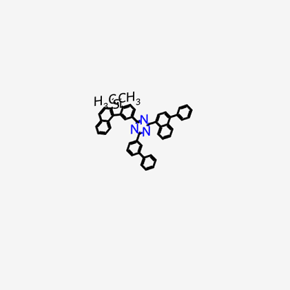 C[Si]1(C)c2ccc(-c3nc(-c4cccc(-c5ccccc5)c4)nc(-c4ccc(-c5ccccc5)c5ccccc45)n3)cc2-c2c1ccc1ccccc21